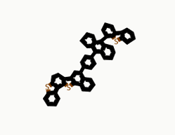 c1ccc2c(c1)sc1c(-c3c4ccccc4c(-c4ccc(-c5cc6c7ccc8sc9ccccc9c8c7sc6c6ccccc56)cc4)c4ccccc34)cccc12